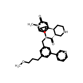 COCCCc1cc(CN(C(=O)[C@H]2CNCC[C@@H]2c2ccn(C)c(=O)c2)C2CC2)cc(-c2cccnc2)c1